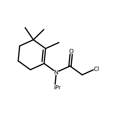 CC1=C(N(C(=O)CCl)C(C)C)CCCC1(C)C